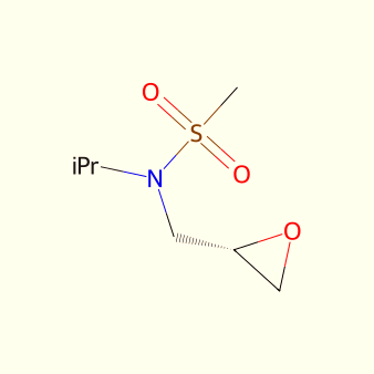 CC(C)N(C[C@H]1CO1)S(C)(=O)=O